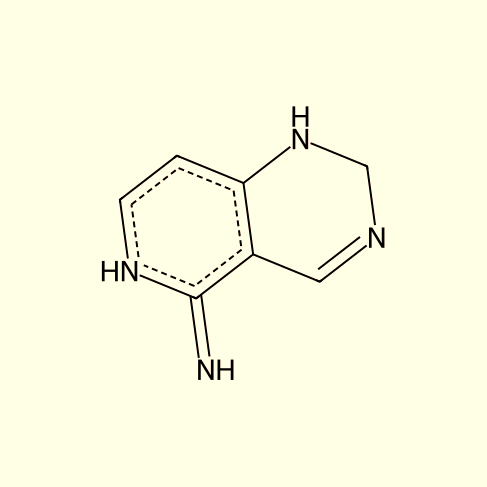 N=c1[nH]ccc2c1C=NCN2